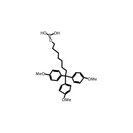 COc1ccc(C(CCCCCCCOB(O)O)(c2ccc(OC)cc2)c2ccc(OC)cc2)cc1